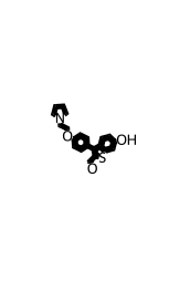 O=Cc1sc2cc(O)ccc2c1-c1ccc(OCCN2CCCC2)cc1